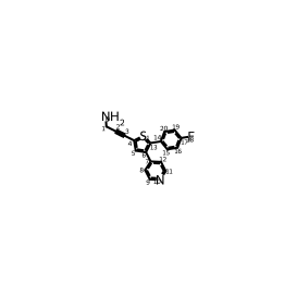 NCC#Cc1cc(-c2ccncc2)c(-c2ccc(F)cc2)s1